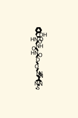 CSc1ncc(-c2cn(CCOCCOCC(=O)NCC(=O)NCC(=O)N[C@@H](Cc3ccccc3)C(=O)O)nn2)cn1